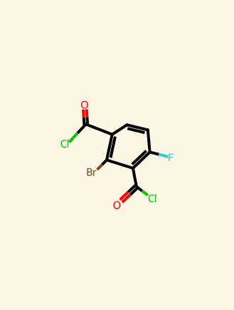 O=C(Cl)c1ccc(F)c(C(=O)Cl)c1Br